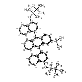 CC(C)(C)[Si](C)(C)Oc1ccc(-c2c3ccccc3c(-c3ccc(O[Si](C)(C)C(C)(C)C)c4ncccc34)c3cc(B(O)O)ccc23)c2cccnc12